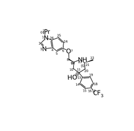 CC(C)n1cnc2cc(OC[C@@H]3C[C@](O)(c4ccc(C(F)(F)F)cc4)C[C@H](C)N3)ccc21